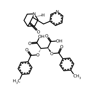 Cc1ccc(C(=O)O[C@H](C(=O)O)[C@H](OC(=O)c2ccc(C)cc2)C(=O)O)cc1.O=C1C2CCN(CC2)[C@H]1Cc1cccnc1